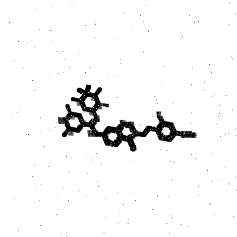 COc1ccc(CCn2nnc3cc(NC(=N[C@H]4C[C@@H](C)C(C)(C)[C@@H](C)[C@@H]4C)N4C[C@@H](C)N[C@@H](C)C4)ccc3c2=O)c(F)c1